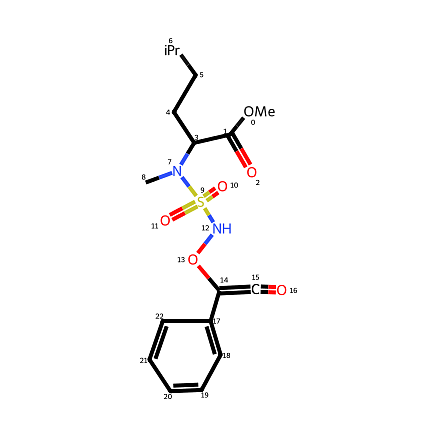 COC(=O)C(CCC(C)C)N(C)S(=O)(=O)NOC(=C=O)c1ccccc1